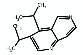 CC(C)c1cnc2ccncc2c1C(C)C